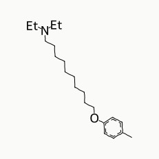 CCN(CC)CCCCCCCCCCOc1ccc(C)cc1